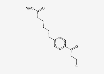 COC(=O)CCCCCc1ccc(C(=O)CCCl)cc1